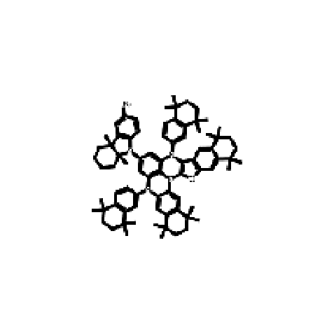 CC(C)(C)c1ccc2c(c1)C1(C)CCCCC1(C)N2c1cc2c3c(c1)N(c1ccc4c(c1)C(C)(C)CCC4(C)C)c1c(oc4cc5c(cc14)C(C)(C)CCC5(C)C)B3c1cc3c(cc1N2c1ccc2c(c1)C(C)(C)CCC2(C)C)C(C)(C)CCC3(C)C